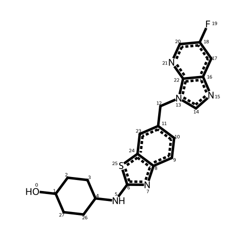 OC1CCC(Nc2nc3ccc(Cn4cnc5cc(F)cnc54)cc3s2)CC1